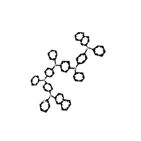 c1ccc(N(c2ccc(N(c3ccccc3)c3ccc(N(c4ccccc4)c4ccc5ccccc5c4)cc3)cc2)c2ccc(N(c3ccccc3)c3ccc(N(c4ccccc4)c4ccc5ccccc5c4)cc3)cc2)cc1